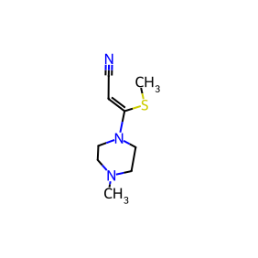 CS/C(=C\C#N)N1CCN(C)CC1